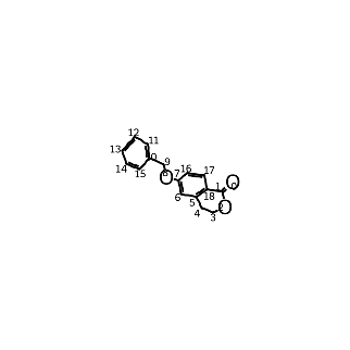 O=C1OCCc2cc(OCc3ccccc3)ccc21